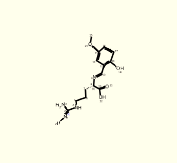 [H]/N=C(\N)NCCC[C@H](N=Cc1cc(OC)ccc1O)C(=O)O